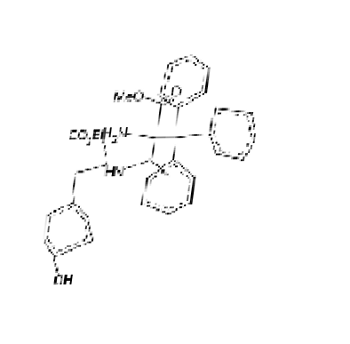 CCOC(=O)C(Cc1ccc(O)cc1)NC(C)C(N)(C(=O)OC)C(c1ccccc1)(c1ccccc1)c1ccccc1